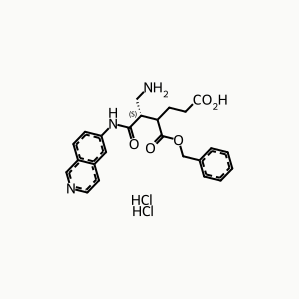 Cl.Cl.NC[C@@H](C(=O)Nc1ccc2cnccc2c1)C(CCC(=O)O)C(=O)OCc1ccccc1